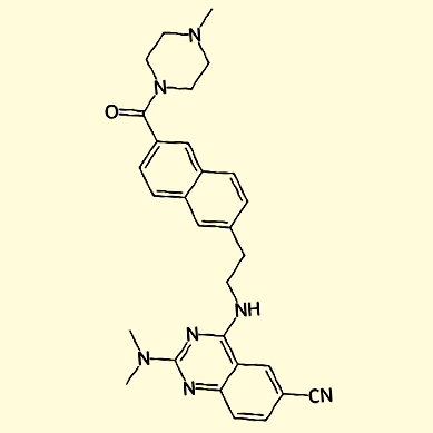 CN1CCN(C(=O)c2ccc3cc(CCNc4nc(N(C)C)nc5ccc(C#N)cc45)ccc3c2)CC1